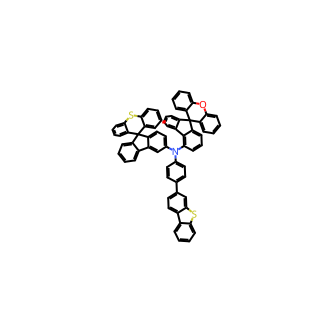 c1ccc2c(c1)Oc1ccccc1C21c2ccccc2-c2c(N(c3ccc(-c4ccc5c(c4)sc4ccccc45)cc3)c3ccc4c(c3)-c3ccccc3C43c4ccccc4Sc4ccccc43)cccc21